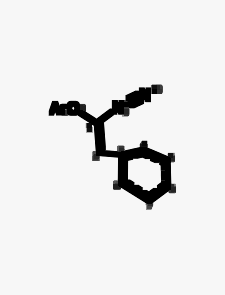 CC(=O)OC(=Cc1ccccc1)[N+]#N